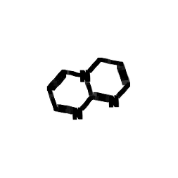 C1=CN2CC=CN=C2N=C1